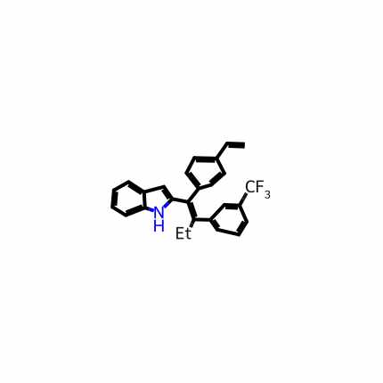 C=Cc1ccc(/C(=C(/CC)c2cccc(C(F)(F)F)c2)c2cc3ccccc3[nH]2)cc1